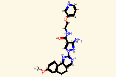 COc1ccc2c(c1)CCc1cnc(-n3cc(C(=O)NCCOc4cccnc4)c(N)n3)nc1-2